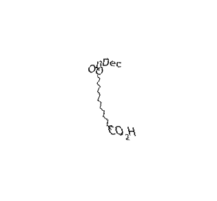 CCCCCCCCCCC(=O)OCCCCCCCCCCCCCC(=O)O